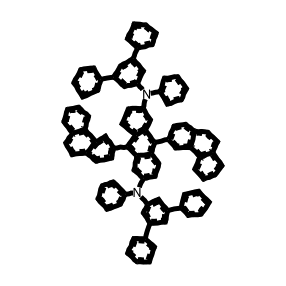 c1ccc(-c2cc(-c3ccccc3)cc(N(c3ccccc3)c3ccc4c(-c5ccc6ccc7ccccc7c6c5)c5cc(N(c6ccccc6)c6cc(-c7ccccc7)cc(-c7ccccc7)c6)ccc5c(-c5ccc6ccc7ccccc7c6c5)c4c3)c2)cc1